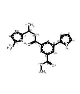 COC(=O)c1cc(C(=O)NC(C)c2nc(C)cs2)cc(-c2ccco2)c1